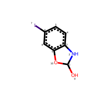 OC1Nc2ccc(I)cc2O1